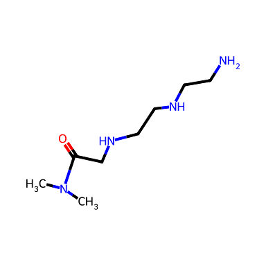 CN(C)C(=O)CNCCNCCN